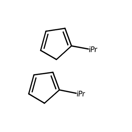 CC(C)C1=CC=CC1.CC(C)C1=CC=CC1